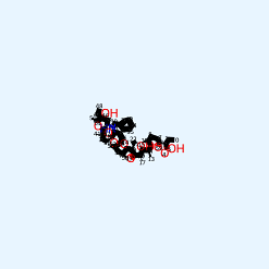 CCC(C(=O)O)[C@H]1CC[C@H](C)C([C@@H](C)[C@H](O)[C@H](C)C(=O)[C@H](CC)[C@H]2O[C@]3(C=C[C@@H](NCc4ccccc4)[C@]4(CC[C@@](C)([C@H]5CC[C@](O)(CC)[C@H](C)O5)O4)O3)[C@H](C)C[C@@H]2C)O1